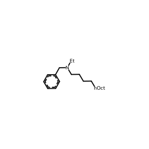 CCCCCCCCCCCCN(CC)Cc1ccccc1